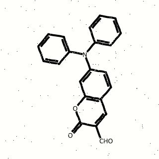 O=Cc1cc2ccc(N(c3ccccc3)c3ccccc3)cc2oc1=O